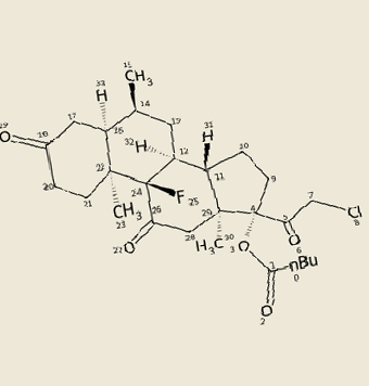 CCCCC(=O)O[C@@]1(C(=O)CCl)CC[C@H]2[C@@H]3C[C@H](C)[C@@H]4CC(=O)CC[C@]4(C)[C@@]3(F)C(=O)C[C@@]21C